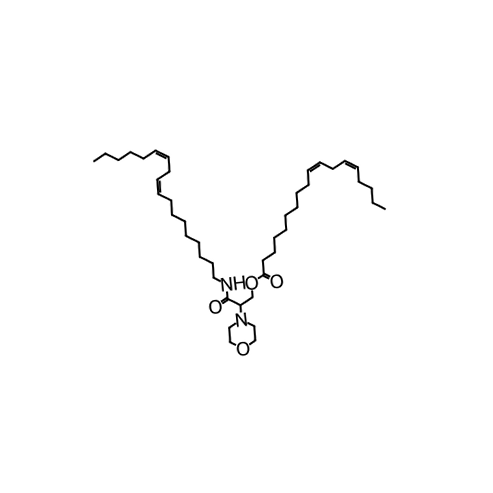 CCCC/C=C\C/C=C\CCCCCCCCC(=O)OCC(C(=O)NCCCCCCCC/C=C\C/C=C\CCCCC)N1CCOCC1